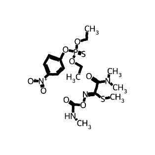 CCOP(=S)(OCC)Oc1ccc([N+](=O)[O-])cc1.CNC(=O)ON=C(SC)C(=O)N(C)C